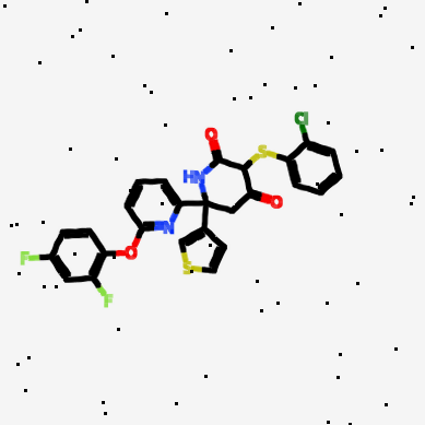 O=C1CC(c2ccsc2)(c2cccc(Oc3ccc(F)cc3F)n2)NC(=O)C1Sc1ccccc1Cl